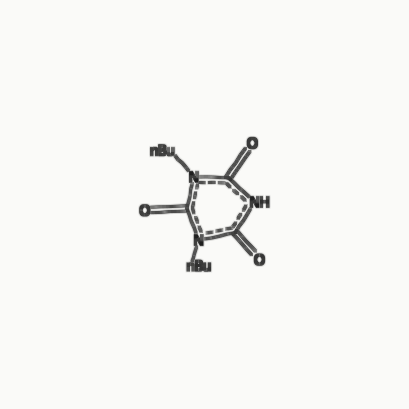 CCCCn1c(=O)[nH]c(=O)n(CCCC)c1=O